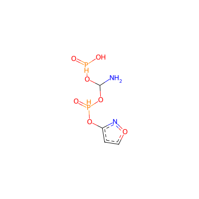 NC(O[PH](=O)O)O[PH](=O)Oc1ccon1